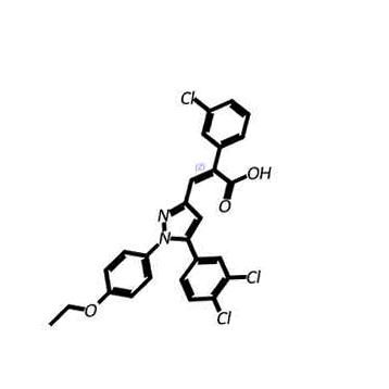 CCOc1ccc(-n2nc(/C=C(\C(=O)O)c3cccc(Cl)c3)cc2-c2ccc(Cl)c(Cl)c2)cc1